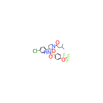 CC(C)CC(=O)N1CC[C@](NS(=O)(=O)c2ccc(OC(F)(F)F)cc2)(c2ccc(Cl)cc2)C1